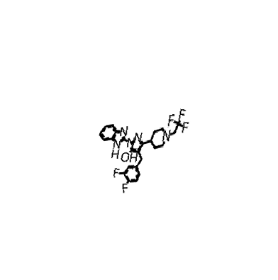 Oc1c(Cc2ccc(F)c(F)c2)c(C2CCN(CC(F)(F)F)CC2)nn1-c1nc2ccccc2[nH]1